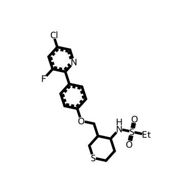 CCS(=O)(=O)NC1CCSCC1COc1ccc(-c2ncc(Cl)cc2F)cc1